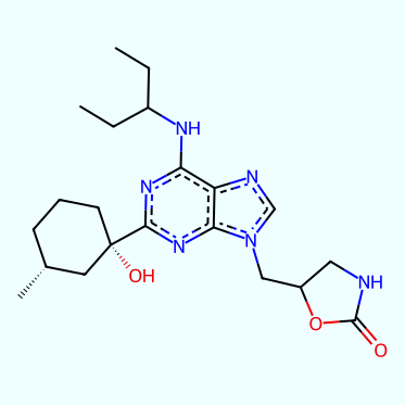 CCC(CC)Nc1nc([C@]2(O)CCC[C@@H](C)C2)nc2c1ncn2CC1CNC(=O)O1